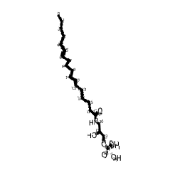 CCCCCC=CCCCCCCCCCCC(=O)NCC(O)COP(=O)(O)O